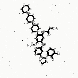 C=CC(=O)Nc1cc(Nc2cc(N3OCC[C@@H]3c3cccc(Cl)c3Cl)ncn2)c(OC)cc1N1CCC(N2CCC(N3CCOCC3)CC2)CC1